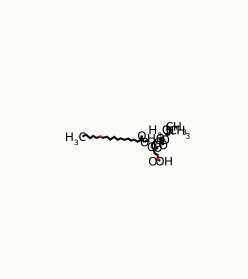 CCCCCCCCCCCCCCCCCC(=O)OC[C@H](COP(=O)(O)OCC[N+](C)(C)C)OC(=O)CCC(=O)O